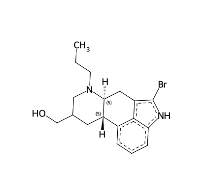 CCCN1CC(CO)C[C@H]2c3cccc4[nH]c(Br)c(c34)C[C@@H]21